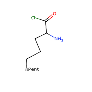 CCCCCCCCC(N)C(=O)Cl